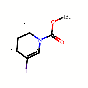 CC(C)(C)OC(=O)N1C=C(I)CCC1